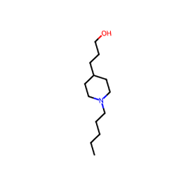 CCCCCN1CCC(CCCO)CC1